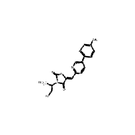 CC(C)CC(C(=O)O)N1C(=O)C(=Cc2ccc(-c3ccc(C(C)(C)C)cc3)cn2)SC1=S